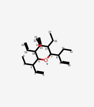 C=CC(CC)C(OC(C(C=C)CC)C(C=C)CC)C(C=C)CC